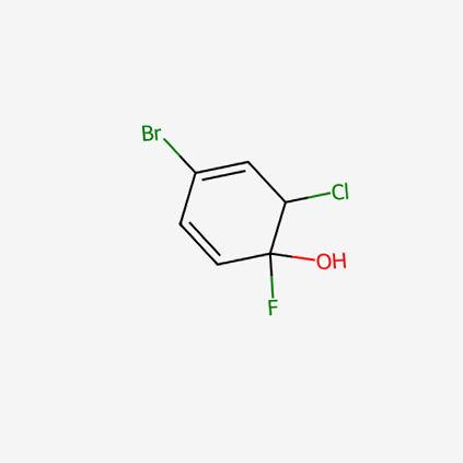 OC1(F)C=CC(Br)=CC1Cl